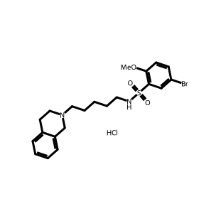 COc1ccc(Br)cc1S(=O)(=O)NCCCCCN1CCc2ccccc2C1.Cl